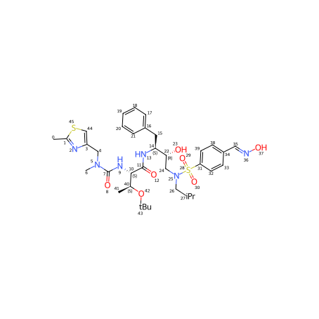 Cc1nc(CN(C)C(=O)N[C@H](C(=O)N[C@@H](Cc2ccccc2)[C@H](O)CN(CC(C)C)S(=O)(=O)c2ccc(C=NO)cc2)[C@H](C)OC(C)(C)C)cs1